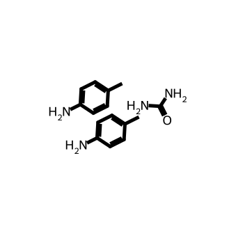 Cc1ccc(N)cc1.Cc1ccc(N)cc1.NC(N)=O